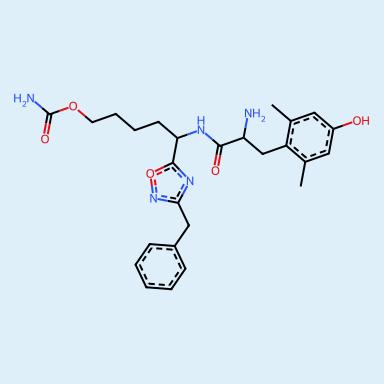 Cc1cc(O)cc(C)c1CC(N)C(=O)NC(CCCCOC(N)=O)c1nc(Cc2ccccc2)no1